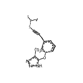 CCOC(=O)c1nn[nH]c1Oc1cccc(C#CSP(I)I)c1